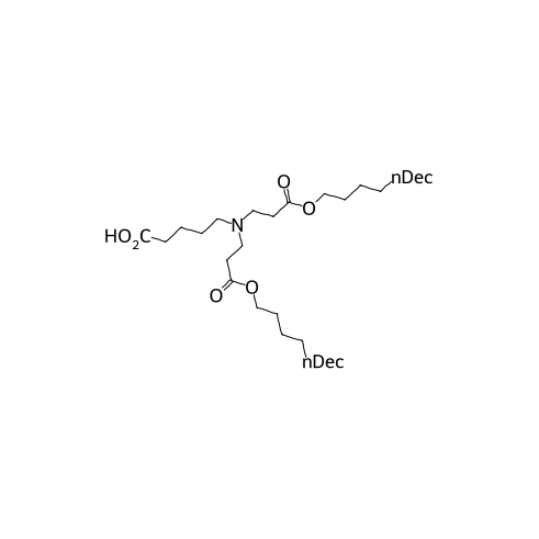 CCCCCCCCCCCCCCOC(=O)CCN(CCCCC(=O)O)CCC(=O)OCCCCCCCCCCCCCC